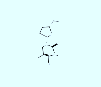 NC1=C(I)CN([C@H]2CC[C@@H](CO)O2)C(=O)N1F